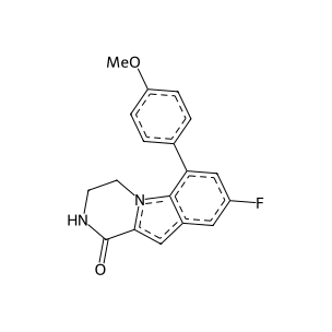 COc1ccc(-c2cc(F)cc3cc4n(c23)CCNC4=O)cc1